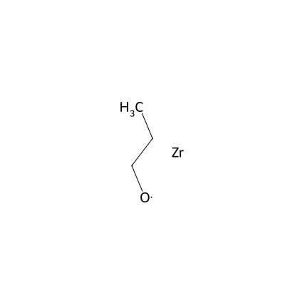 CCC[O].[Zr]